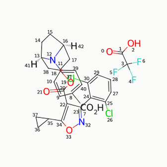 O=C(O)C(F)(F)F.O=C(O)c1ccc(N2[C@@H]3CC[C@H]2CC(OC(=O)c2c(-c4c(Cl)cccc4Cl)noc2C2CC2)C3)cc1